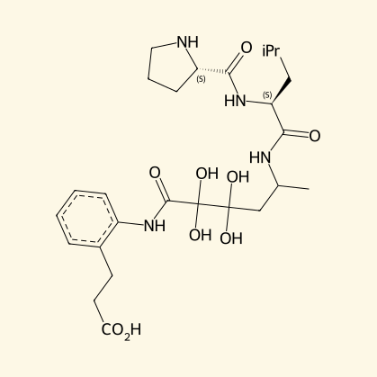 CC(C)C[C@H](NC(=O)[C@@H]1CCCN1)C(=O)NC(C)CC(O)(O)C(O)(O)C(=O)Nc1ccccc1CCC(=O)O